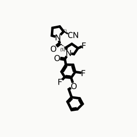 N#C[C@@H]1CCCN1C(=O)[C@@H]1CC(F)CN1C(=O)c1cc(F)c(OCc2ccccc2)c(F)c1